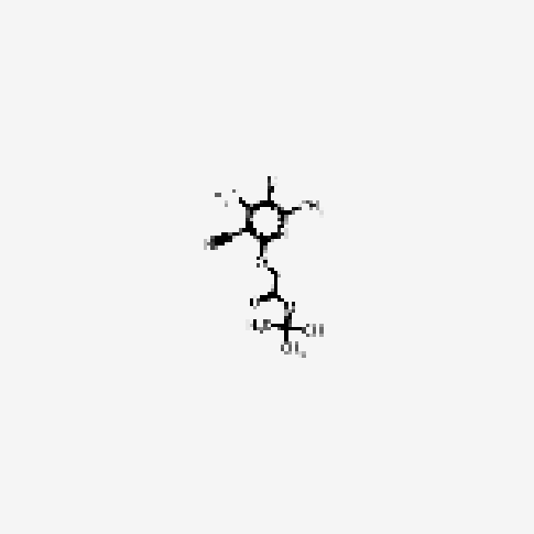 Cc1nc(OCC(=O)OC(C)(C)C)c(C#N)c(C)c1Cl